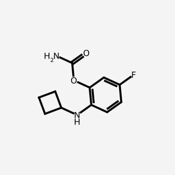 NC(=O)Oc1cc(F)ccc1NC1CCC1